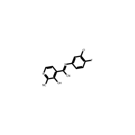 N#C/C(=N\c1ccc(F)c(Cl)c1)c1ccnc(C#N)c1O